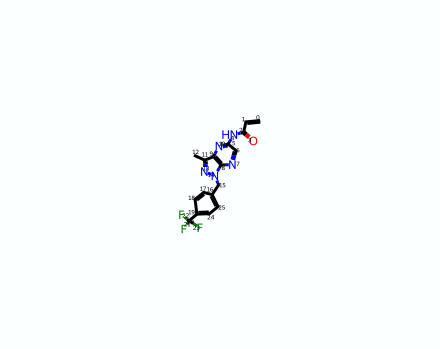 C=CC(=O)Nc1cnc2c(n1)c(C)nn2Cc1ccc(C(F)(F)F)cc1